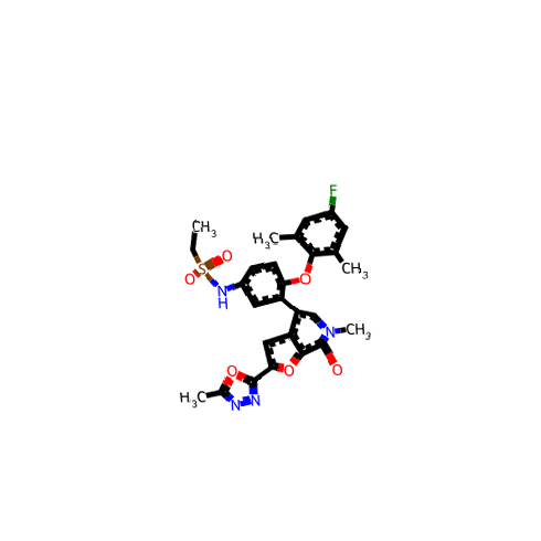 CCS(=O)(=O)Nc1ccc(Oc2c(C)cc(F)cc2C)c(-c2cn(C)c(=O)c3oc(-c4nnc(C)o4)cc23)c1